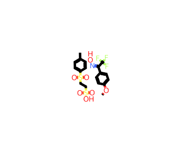 COc1ccc(/C(=N/O)C(F)(F)F)cc1.Cc1ccc(S(=O)(=O)CCS(=O)(=O)O)cc1